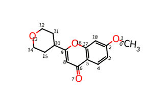 COc1ccc2c(=O)cc(C3CCOCC3)oc2c1